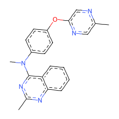 Cc1cnc(Oc2ccc(N(C)c3nc(C)nc4ccccc34)cc2)cn1